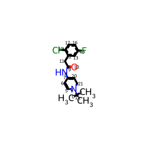 CC(C)(C)N1C=CC(NC(=O)Cc2cc(F)ccc2Cl)=CC1